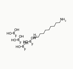 NCCCCCCCCCN.OB(O)F.OB(O)F.OB(O)F.OB(O)F